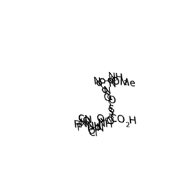 COc1ncc(-c2ccc3nccc(-c4ccc(COC(=O)CCCSSCC(CC(=O)CCC(=O)NCc5cc(C(=O)NCC(=O)N6CC(F)(F)C[C@H]6C#N)c(Cl)cn5)C(=O)O)nc4)c3c2)cc1N